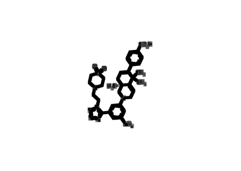 CC1(C)C(c2ccc(C(=O)O)cc2)=CC[C@]2(C)CN(c3cc(-c4nnnn4CCN4CCS(=O)(=O)CC4)cc([N+](=O)[O-])c3)CC=C12